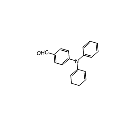 O=Cc1ccc(N(C2=CCCC=C2)c2ccccc2)cc1